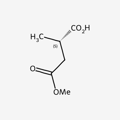 COC(=O)C[C@H](C)C(=O)O